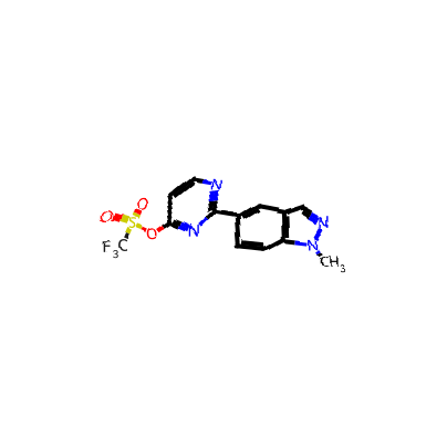 Cn1ncc2cc(-c3nccc(OS(=O)(=O)C(F)(F)F)n3)ccc21